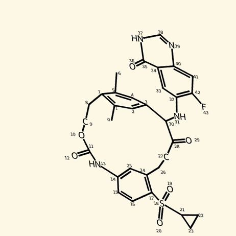 Cc1cc2cc(C)c1CCOC(=O)Nc1ccc(S(=O)(=O)C3CC3)c(c1)CCC(=O)C2Nc1cc2c(=O)[nH]cnc2cc1F